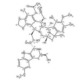 C#CS[C@@H]1c2c(OC(C)=O)c(C)c3c(c2[C@H](COC(=O)[C@@H]2N[C@@H](CO)Cc4c2[nH]c2ccc(OC)cc42)N2[C@@H]1[C@H]1c4c(cc(C)c(OC)c4O)C4(C)C[C@H]([C@@H]2O)N14)OCO3